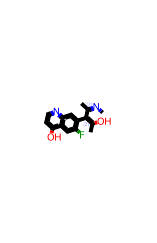 C/N=C(C)\C(=C(\C)O)c1cc2nccc(O)c2cc1F